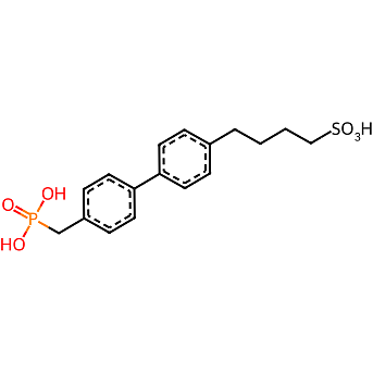 O=P(O)(O)Cc1ccc(-c2ccc(CCCCS(=O)(=O)O)cc2)cc1